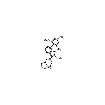 COc1cc(C)cc(C)c1-c1cccc2c(N(CC3CC3)CC3CCOC3)c(OC)nn12